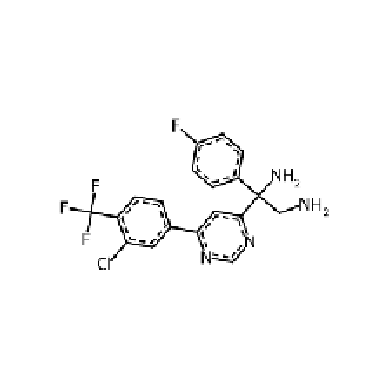 NCC(N)(c1ccc(F)cc1)c1cc(-c2ccc(C(F)(F)F)c(Cl)c2)ncn1